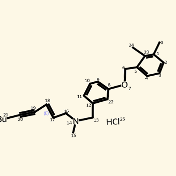 Cc1cccc(COc2cccc(CN(C)C/C=C/C#CC(C)(C)C)c2)c1C.Cl